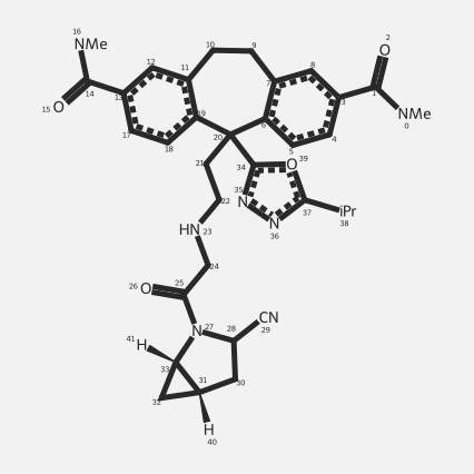 CNC(=O)c1ccc2c(c1)CCc1cc(C(=O)NC)ccc1C2(CCNCC(=O)N1C(C#N)C[C@@H]2C[C@@H]21)c1nnc(C(C)C)o1